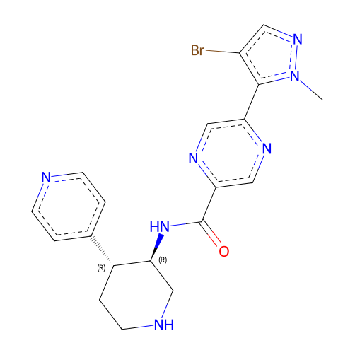 Cn1ncc(Br)c1-c1cnc(C(=O)N[C@H]2CNCC[C@@H]2c2ccncc2)cn1